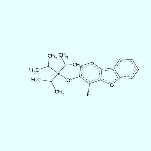 CC(C)[Si](Oc1ccc2c(oc3ccccc32)c1F)(C(C)C)C(C)C